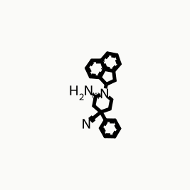 N#CC1(c2ccccc2)CCN(C2Cc3cccc4cccc2c34)[C@H](N)C1